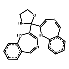 C1=NC=C(C2(C3=CN=Cc4ccccc4N3)NCCO2)Nc2ccccc21